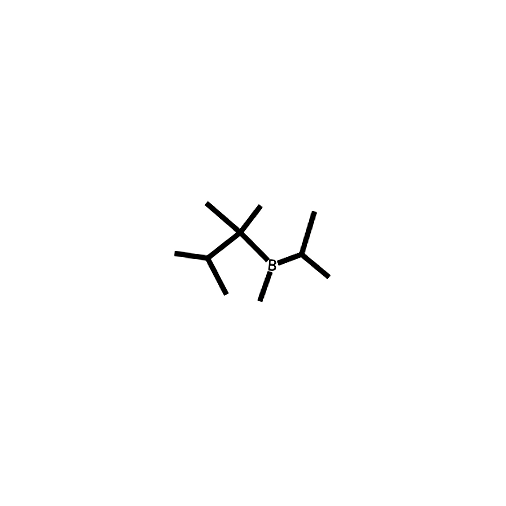 CB(C(C)C)C(C)(C)C(C)C